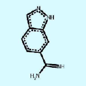 N=C(N)c1ccc2cn[nH]c2c1